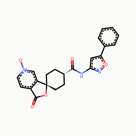 O=C1O[C@]2(CC[C@@H](C(=O)Nc3cc(-c4ccccc4)on3)CC2)c2c[n+]([O-])ccc21